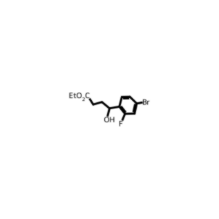 CCOC(=O)CCC(O)c1ccc(Br)cc1F